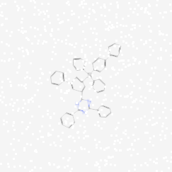 c1ccc(-c2ccc([Si](c3ccccc3)(c3ccccc3)c3cc(-c4ccccc4)cc(-c4nc(-c5ccccc5)nc(-c5ccccc5)n4)c3)cc2)cc1